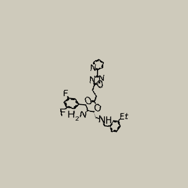 CCc1cccc(CNC[C@@H](OC(=O)CCc2nc(-c3ccccn3)no2)[C@@H](N)Cc2cc(F)cc(F)c2)c1